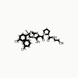 CC(C)C1=C(C(=O)N2CCC[C@H]2C(=O)NCCC#N)SC2=N[C@@](C)(c3ccc(Cl)cc3)[C@@H](c3ccc(Cl)cc3)N21